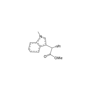 CCCC(C(=O)OC)c1cn(C)c2ccccc12